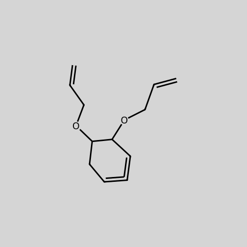 C=CCOC1C=C=CCC1OCC=C